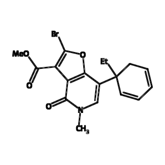 CCC1(c2cn(C)c(=O)c3c(C(=O)OC)c(Br)oc23)C=CC=CC1